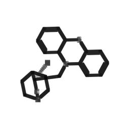 C1=CC2Sc3ccccc3N(C[C@H]3CN4CCC3CC4)C2C=C1